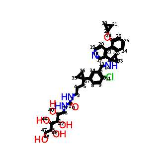 O=C(NCCCC1(c2ccc(Cl)c(CNC3(c4cnccc4-c4ccccc4OC4CC4)CC3)c2)CC1)NC[C@H](O)[C@@H](O)[C@H](O)[C@H](O)CO